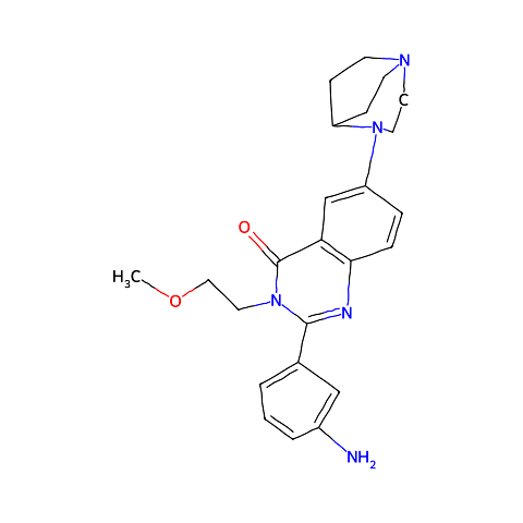 COCCn1c(-c2cccc(N)c2)nc2ccc(N3CCN4CCC3CC4)cc2c1=O